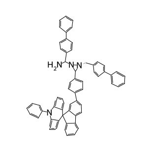 NC(c1ccc(-c2ccccc2)cc1)N1C(c2ccc(-c3ccc4c(c3)C3(c5ccccc5-4)c4ccccc4N(c4ccccc4)c4ccccc43)cc2)[N@@]1Cc1ccc(-c2ccccc2)cc1